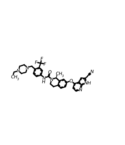 CCN1CCN(Cc2ccc(NC(=O)N3CCc4ccc(Oc5ccnc6[nH]c(C#N)cc56)cc4[C@@H]3C)cc2C(F)(F)F)CC1